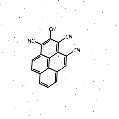 N#Cc1c(C#N)c2ccc3cccc4cc(C#N)c(c1C#N)c2c34